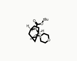 CC(C)(C)OC(=O)N1[C@@H]2CC[C@H]1C1C[C@@]1(CN1CCOCC1)C2